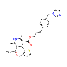 COC(=O)C1=C(C)NC(C)=C(C(=O)OC/C=C/c2ccc(Cn3ccnc3)cc2)C1c1sccc1C